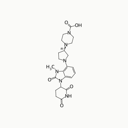 Cn1c(=O)n(C2CCC(=O)NC2=O)c2cccc(N3CC[C@@H](N4CCN(C(=O)O)CC4)C3)c21